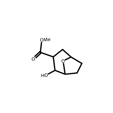 COC(=O)C1CC2CCC(O2)C1O